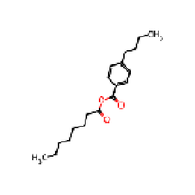 CCCCCCCC(=O)OC(=O)c1ccc(CCCC)cc1